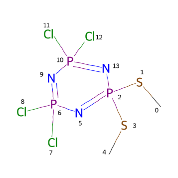 CSP1(SC)=NP(Cl)(Cl)=NP(Cl)(Cl)=N1